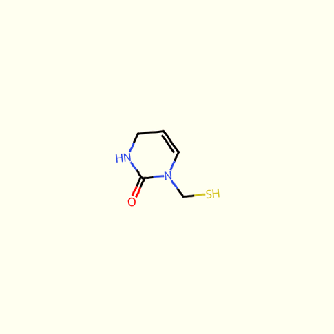 O=C1NCC=CN1CS